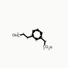 O=CCCc1cccc(CC(=O)O)c1